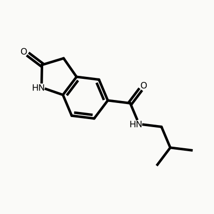 CC(C)CNC(=O)c1ccc2c(c1)CC(=O)N2